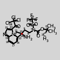 CC(C)(C)OC(=O)N(CCCC[N+]12C(CN)=CC=CC1=NC=C2C(=O)C(Cl)(Cl)Cl)S(=O)(=O)C(F)(F)F